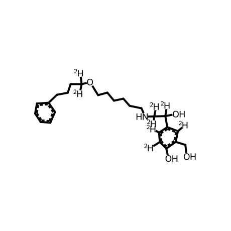 [2H]c1c([2H])c(C([2H])(O)C([2H])([2H])NCCCCCCOC([2H])([2H])CCCc2ccccc2)c([2H])c(CO)c1O